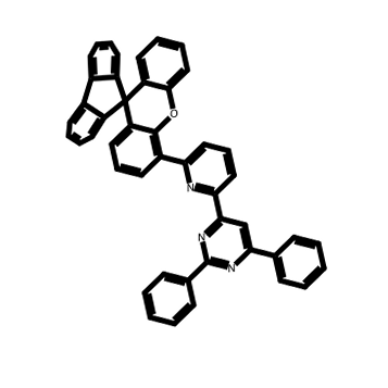 c1ccc(-c2cc(-c3cccc(-c4cccc5c4Oc4ccccc4C54c5ccccc5-c5ccccc54)n3)nc(-c3ccccc3)n2)cc1